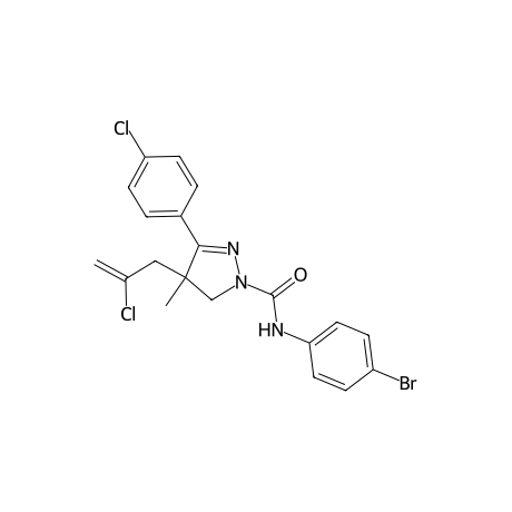 C=C(Cl)CC1(C)CN(C(=O)Nc2ccc(Br)cc2)N=C1c1ccc(Cl)cc1